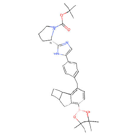 CC(C)(C)OC(=O)N1CCC[C@H]1c1ncc(-c2ccc(-c3ccc(B4OC(C)(C)C(C)(C)O4)c4c3C3CCC3C4)cc2)[nH]1